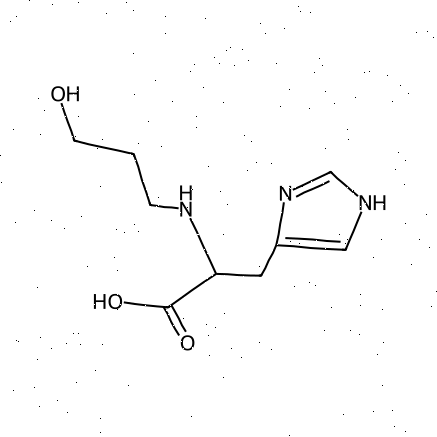 O=C(O)C(Cc1c[nH]cn1)NCCCO